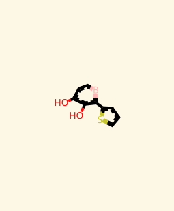 Oc1ccbc(-c2cccs2)c1O